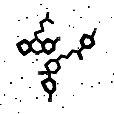 CN(C)CCCN1c2ccccc2Sc2ccc(Cl)cc21.O=C(CCCN1CCC(O)(c2ccc(Cl)cc2)CC1)c1ccc(F)cc1